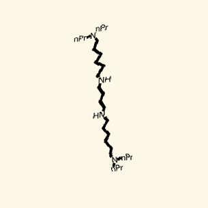 CCCN(CCC)CCCCCCNCCCCNCCCCCCN(CCC)CCC